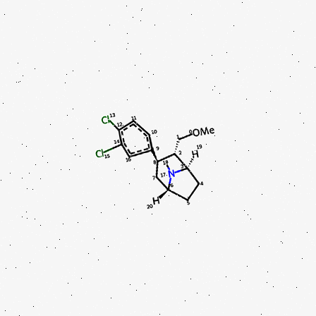 COC[C@@H]1[C@H]2CC[C@H](C[C@H]1c1ccc(Cl)c(Cl)c1)N2C